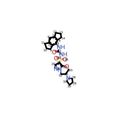 O=C(Nc1c2c(cc3c1CCC3)CCC2)NS(=O)(=O)c1cnn2c1OC[C@H](N1CCCC1)C2